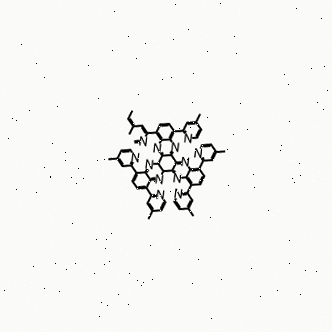 C=N/C(=C\C(C)=C/C)c1ccc(-c2cc(C)ccn2)c2nc3c(nc12)C1N=c2c(-c4cc(C)ccn4)ccc(-c4cc(C)ccn4)c2=NC1c1nc2c(-c4cc(C)ccn4)ccc(-c4cc(C)ccn4)c2nc1-3